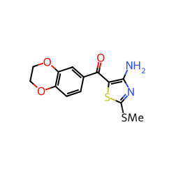 CSc1nc(N)c(C(=O)c2ccc3c(c2)OCCO3)s1